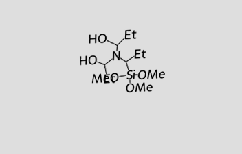 CCC(O)N(C(O)CC)C(CC)[Si](OC)(OC)OC